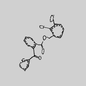 O=C(OCc1cccc(Cl)c1Cl)c1ccccc1C(=O)c1cccs1